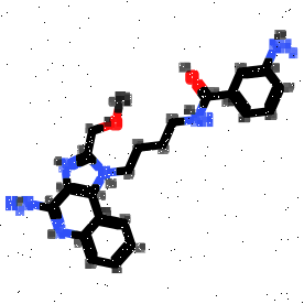 CCOCc1nc2c(N)nc3ccccc3c2n1CCCCNC(=O)c1cccc(N)c1